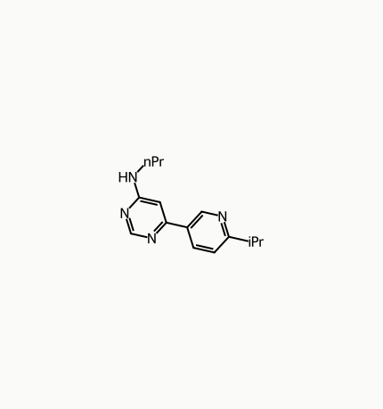 CCCNc1cc(-c2ccc(C(C)C)nc2)ncn1